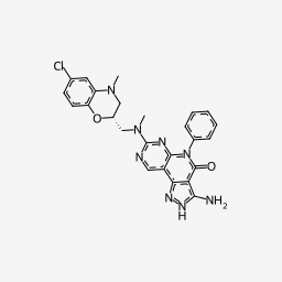 CN(C[C@H]1CN(C)c2cc(Cl)ccc2O1)c1ncc2c3n[nH]c(N)c3c(=O)n(-c3ccccc3)c2n1